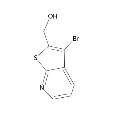 OCc1sc2ncccc2c1Br